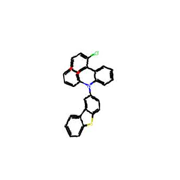 Clc1ccccc1-c1ccccc1N(c1ccccc1)c1ccc2sc3ccccc3c2c1